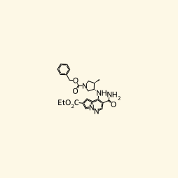 CCOC(=O)c1cc2c(N[C@@H]3CN(C(=O)OCc4ccccc4)C[C@H]3C)c(C(N)=O)cnn2c1